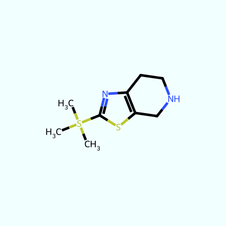 CS(C)(C)c1nc2c(s1)CNCC2